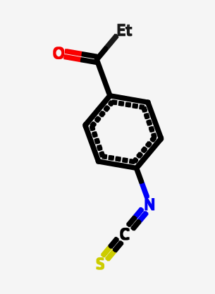 CCC(=O)c1ccc(N=C=S)cc1